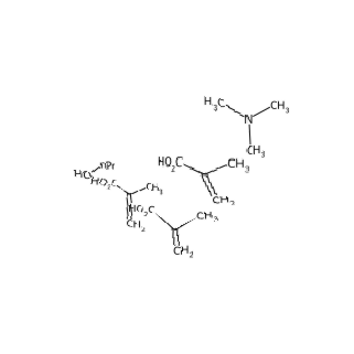 C=C(C)C(=O)O.C=C(C)C(=O)O.C=C(C)C(=O)O.CCCO.CN(C)C